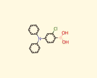 OB(O)c1ccc(N(c2ccccc2)c2ccccc2)cc1Cl